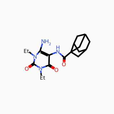 CCn1c(N)c(NC(=O)C23CC4CC(CC2C4)C3)c(=O)n(CC)c1=O